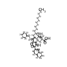 CCCCCCCCCCCCC[C@@H](CC(N)=O)N(CCc1ccccc1)C(=O)[C@H](CCCC(=O)O)NC(=O)c1ccc2ccccc2n1